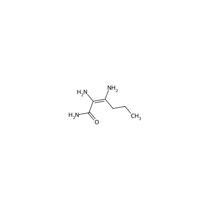 CCC/C(N)=C(/N)C(N)=O